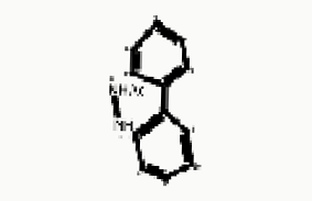 CC(=O)NN.c1ccc(-c2ccccc2)cc1